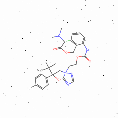 CSC(C)(C)C(O)(C[N+]1(CCOC(=O)Nc2cccc(Cl)c2COC(=O)CN(C)C)C=NC=N1)c1ccc(C(F)(F)F)cc1